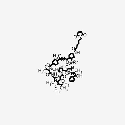 CCC(C)C(C(CC(=O)N1CCCC1C(OC)C(C)C(=O)NC(C)C(O)c1ccccc1)OC)N(C)C(=O)CNC(=O)C(C(C)C)N(C)C(=O)c1ccc(/C(C)=N/NC(=O)c2ccc(NC(=O)CCCCCN3C(=O)C=CC3=O)cc2[N+](=O)[O-])cc1